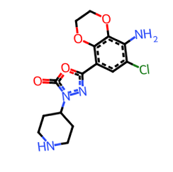 Nc1c(Cl)cc(-c2nn(C3CCNCC3)c(=O)o2)c2c1OCCO2